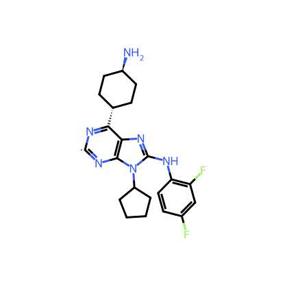 N[C@H]1CC[C@H](c2n[c]nc3c2nc(Nc2ccc(F)cc2F)n3C2CCCC2)CC1